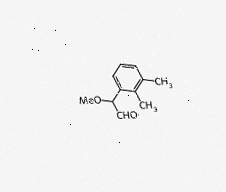 COC([C]=O)c1cccc(C)c1C